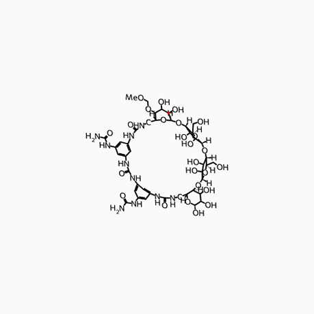 COCO[C@H]1C(O)C(O)[C@@H]2O[C@@H]1CNC(=O)Nc1cc(NC(N)=O)cc(c1)NC(=O)Nc1cc(NC(N)=O)cc(c1)NC(=O)NC[C@H]1O[C@H](O)C(O)C(O)[C@@H]1O[C@H]1O[C@H](CO)[C@@H](O[C@H]3O[C@H](CO)[C@@H](O2)C(O)C3O)C(O)C1O